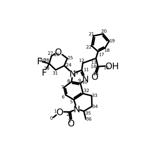 COC(=O)N1c2ccc3c(nc(CC(C(=O)O)c4ccccc4)n3C3COCC(F)(F)C3)c2CCC1C